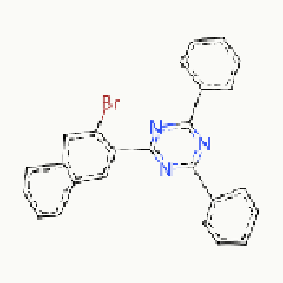 Brc1cc2ccccc2cc1-c1nc(-c2ccccc2)nc(-c2ccccc2)n1